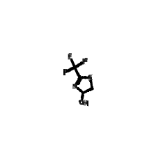 OC1CSC(C(F)(F)F)=N1